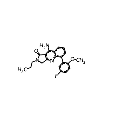 CCCN1Cc2nc3c(-c4cc(F)ccc4OC)cccc3c(N)c2C1=O